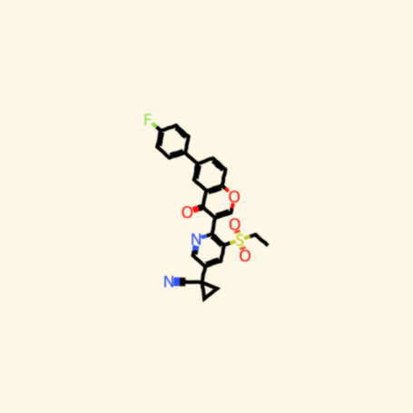 CCS(=O)(=O)c1cc(C2(C#N)CC2)cnc1-c1coc2ccc(-c3ccc(F)cc3)cc2c1=O